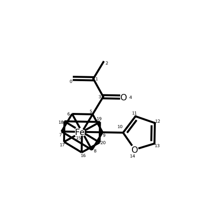 C=C(C)C(=O)[C]12[CH]3[CH]4[CH]5[C]1(c1ccco1)[Fe]43521678[CH]2[CH]1[CH]6[CH]7[CH]28